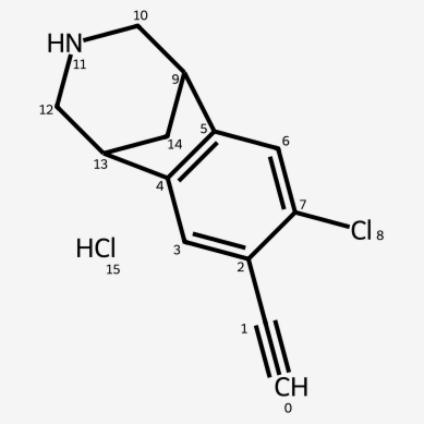 C#Cc1cc2c(cc1Cl)C1CNCC2C1.Cl